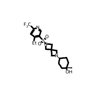 CCc1cc(C(F)(F)F)ncc1S(=O)(=O)N1CC2(C1)CN([C@H]1CC[C@@](C)(O)CC1)C2